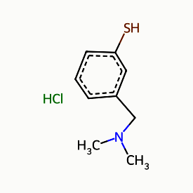 CN(C)Cc1cccc(S)c1.Cl